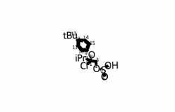 CC(C)C(Cl)(COS(=O)O)Oc1ccc(C(C)(C)C)cc1